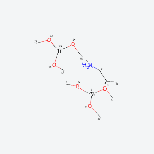 CCCN.C[O][Ti]([O]C)[O]C.C[O][Ti]([O]C)[O]C